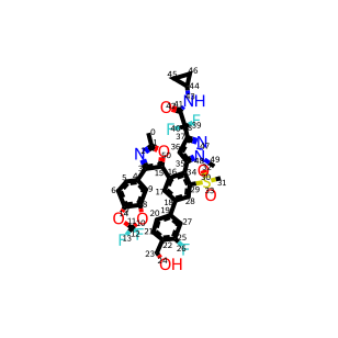 Cc1nc(-c2ccc3c(c2)OC(F)(F)O3)c(-c2cc(-c3ccc(CO)c(F)c3)cc(S(C)(=O)=O)c2-c2cc(C(F)(F)C(=O)NC3CC3)nn2C)o1